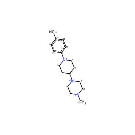 CN1CCN(C2CCN(c3ccc(C#N)cc3)CC2)CC1